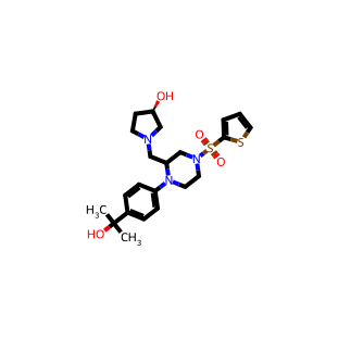 CC(C)(O)c1ccc(N2CCN(S(=O)(=O)c3cccs3)CC2CN2CC[C@@H](O)C2)cc1